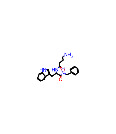 NCCCC(=O)NC(Cc1c[nH]c2ccccc12)C(=O)NCc1ccccc1